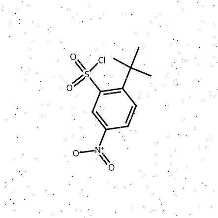 CC(C)(C)c1ccc([N+](=O)[O-])cc1S(=O)(=O)Cl